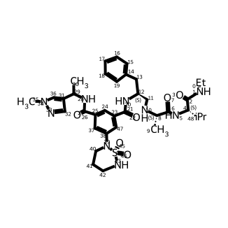 CCNC(=O)[C@@H](NC(=O)[C@H](C)NC[C@H](Cc1ccccc1)NC(=O)c1cc(C(=O)NC(C)c2cnn(C)c2)cc(N2CCCNS2(=O)=O)c1)C(C)C